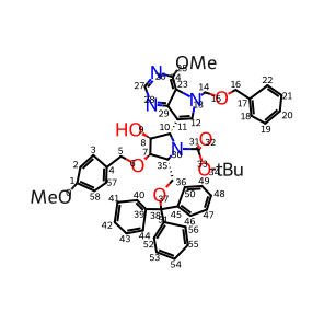 COc1ccc(CO[C@H]2[C@@H](O)[C@H](c3cn(COCc4ccccc4)c4c(OC)ncnc34)N(C(=O)OC(C)(C)C)[C@@H]2COC(c2ccccc2)(c2ccccc2)c2ccccc2)cc1